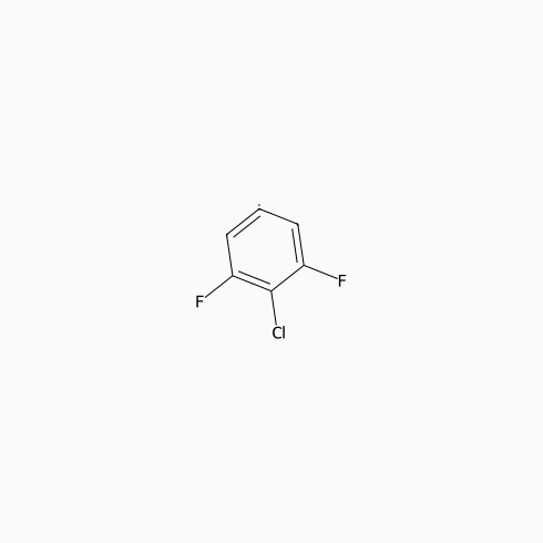 Fc1c[c]cc(F)c1Cl